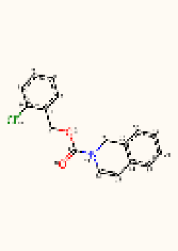 O=C(OCc1ccccc1Cl)N1C=Cc2ccccc2C1